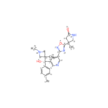 CC(C)c1ccc([C@](O)(c2cncc(-c3noc(C4(C)CNC(=O)C4)n3)c2)C2(C)CN(C)C2)cc1